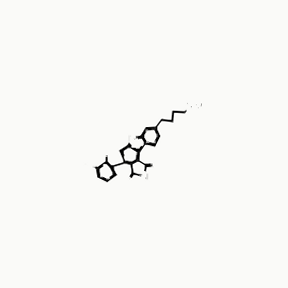 CNCCCCc1ccc2c(c1)[nH]c1cc(-c3cccc(O)c3Cl)c3c(c12)C(=O)NC3=O